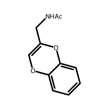 CC(=O)NCC1=COc2ccccc2O1